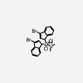 C[SiH](C)[Zr]([Cl])([Cl])([CH]1C=C(Br)c2ccccc21)[CH]1C=C(Br)c2ccccc21